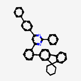 c1ccc(-c2ccc(-c3cc(-c4ccccc4-c4ccc5c(c4)C4(CCCCC4)c4ccccc4-5)nc(-c4ccccc4)n3)cc2)cc1